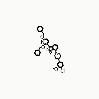 COc1cc(C2CCN(c3cccc4c(-c5ccc(OCc6ccccc6)nc5OCc5ccccc5)nn(C)c34)CC2)ccc1Cl